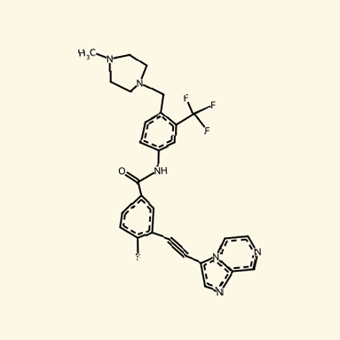 CN1CCN(Cc2ccc(NC(=O)c3ccc(F)c(C#Cc4cnc5cnccn45)c3)cc2C(F)(F)F)CC1